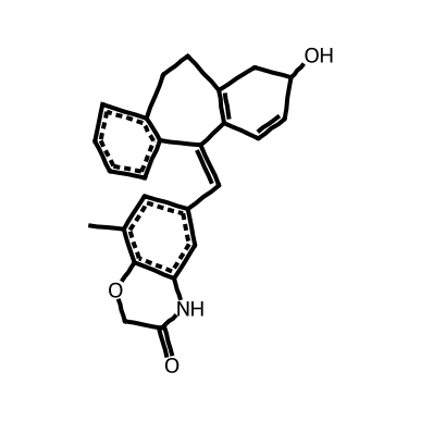 Cc1cc(/C=C2/C3=C(CCc4ccccc42)CC(O)C=C3)cc2c1OCC(=O)N2